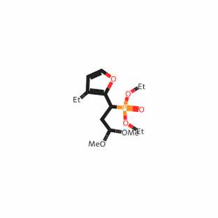 CCOP(=O)(OCC)C(CC(OC)OC)c1occc1CC